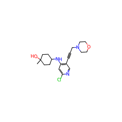 CC1(O)CCC(Nc2cc(Cl)ncc2C#CCN2CCOCC2)CC1